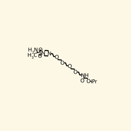 CC(C)OCC(=O)NCCOCCOCCOCCOCCN1CCN(S(=O)(=O)C(C)N)CC1